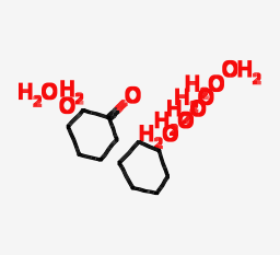 C1CCCCC1.O.O.O.O.O.O.O.O.O=C1CCCCC1